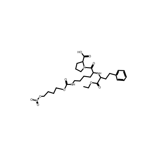 CCOC(=O)C(CCc1ccccc1)NC(CCCCNC(=O)OCCCCO[N+](=O)[O-])C(=O)N1CCCC1C(=O)O